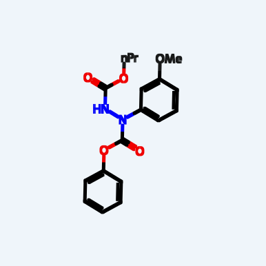 CCCOC(=O)NN(C(=O)Oc1ccccc1)c1cccc(OC)c1